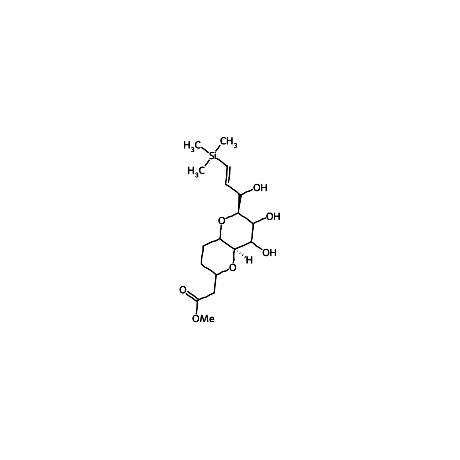 COC(=O)CC1CCC2O[C@@H](C(O)/C=C/[Si](C)(C)C)C(O)C(O)[C@H]2O1